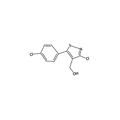 OCc1c(Cl)nsc1-c1ccc(Cl)cc1